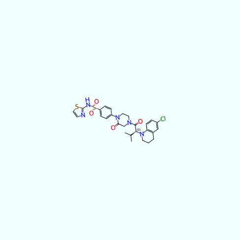 CC(C)[C@@H](C(=O)N1CCN(c2ccc(S(=O)(=O)Nc3nccs3)cc2)C(=O)C1)N1CCCc2cc(Cl)ccc21